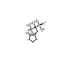 O=P(O)(O)C(O)(CC1CCCC1S)P(=O)(O)O